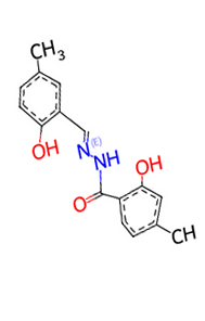 Cc1ccc(C(=O)N/N=C/c2cc(C)ccc2O)c(O)c1